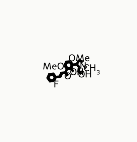 COc1cc(OC)c(C2CCN(C)C2CO)c(O)c1C(=O)C=Cc1ccccc1F